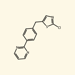 Clc1ncc(Cc2ccc(-c3ncccn3)cc2)s1